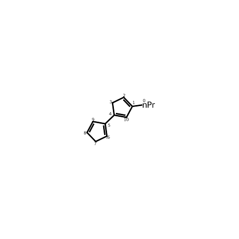 CCCC1=CCC(C2=[C]CC=C2)=C1